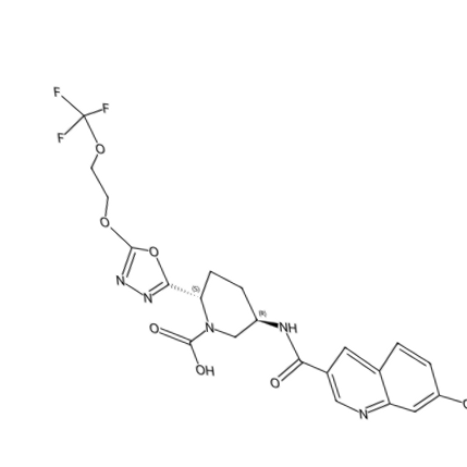 O=C(N[C@@H]1CC[C@@H](c2nnc(OCCOC(F)(F)F)o2)N(C(=O)O)C1)c1cnc2cc(Cl)ccc2c1